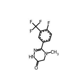 CN1CC(=O)NN=C1c1ccc(F)c(C(F)(F)F)c1